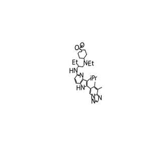 CC[C@@H](CN(CC)C1CCS(=O)(=O)CC1)Nc1ccc2[nH]c(-c3cn4ncnc4c(C)c3C)c(C(C)C)c2n1